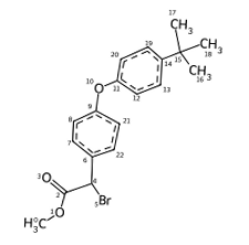 COC(=O)C(Br)c1ccc(Oc2ccc(C(C)(C)C)cc2)cc1